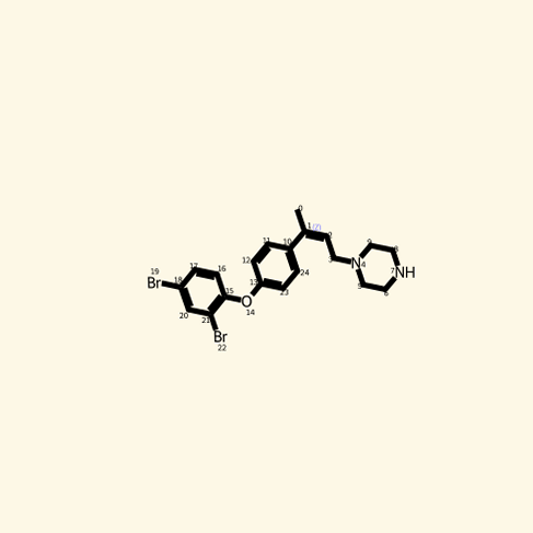 C/C(=C/CN1CCNCC1)c1ccc(Oc2ccc(Br)cc2Br)cc1